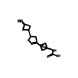 O=C(O)NC12CC(C3=NOC(C4CC(O)C4)C3)(C1)C2